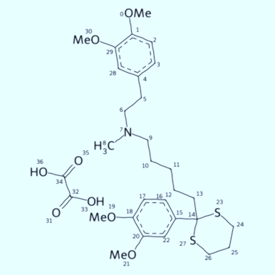 COc1ccc(CCN(C)CCCCCC2(c3ccc(OC)c(OC)c3)SCCCS2)cc1OC.O=C(O)C(=O)O